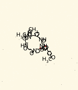 COCCN(C)C(=O)[C@H]1CCNC(=O)/C=C/C(=O)N2CCC[C@@](Cc3ccccc3)(C2)C(=O)N[C@H](Cc2ccc(-c3ccc(C(C)=O)cc3)cc2)C(=O)NCc2ccccc2CC(=O)N1